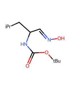 CC(C)CC(C=NO)NC(=O)OC(C)(C)C